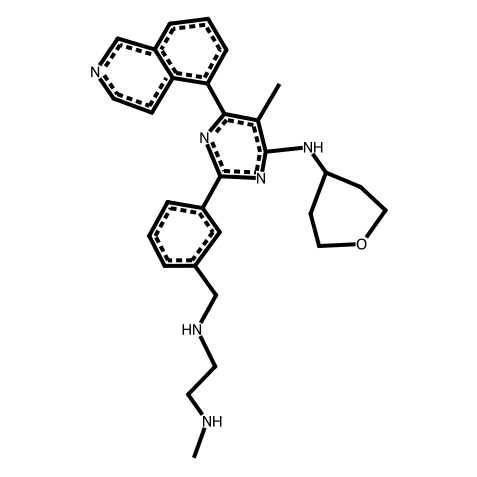 CNCCNCc1cccc(-c2nc(NC3CCOCC3)c(C)c(-c3cccc4cnccc34)n2)c1